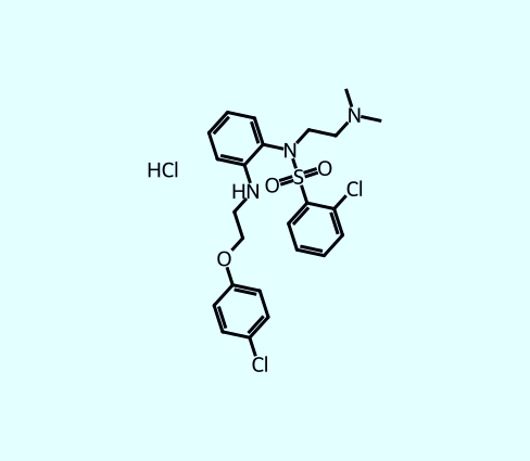 CN(C)CCN(c1ccccc1NCCOc1ccc(Cl)cc1)S(=O)(=O)c1ccccc1Cl.Cl